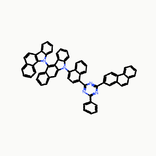 c1ccc(-c2nc(-c3ccc4c(ccc5ccccc54)c3)nc(-c3ccc(-n4c5ccccc5c5c(-n6c7ccccc7c7ccc8ccccc8c76)c6ccccc6cc54)c4ccccc34)n2)cc1